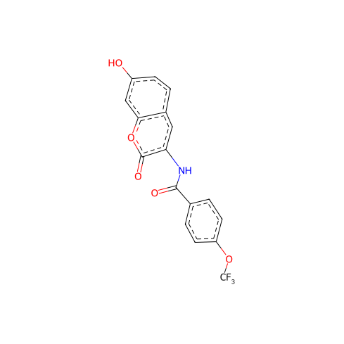 O=C(Nc1cc2ccc(O)cc2oc1=O)c1ccc(OC(F)(F)F)cc1